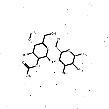 CO[C@@H]1C(CO)O[C@@H](O[C@H]2C(O)C(N)[C@H](C)O[C@H]2CO)C(NC(C)=O)[C@H]1O